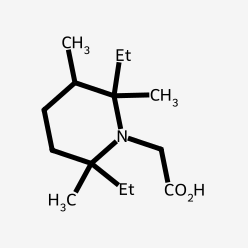 CCC1(C)CCC(C)C(C)(CC)N1CC(=O)O